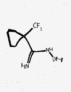 N=C(NO)C1(C(F)(F)F)CC1